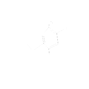 CCOc1cc(C#N)c(Cl)cc1C=O